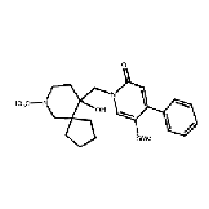 CSc1cn(CC2(O)CCN(C(=O)O)CC23CCCC3)c(=O)cc1-c1ccccc1